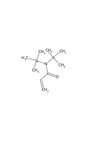 C=CC(=O)N([Si](C)(C)C)[Si](C)(C)C